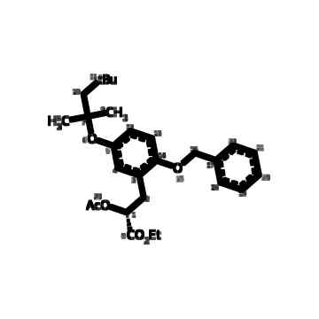 CCOC(=O)[C@@H](Cc1cc(OC(C)(C)CC(C)(C)C)ccc1OCc1ccccc1)OC(C)=O